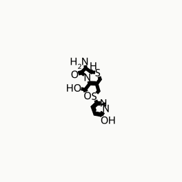 NC1C(=O)N2C(C(=O)O)=C(CSc3ccc(O)nn3)CS[C@@H]12